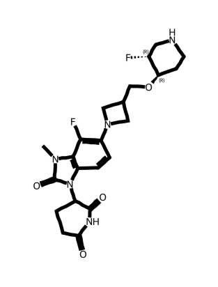 Cn1c(=O)n(C2CCC(=O)NC2=O)c2ccc(N3CC(CO[C@@H]4CCNC[C@H]4F)C3)c(F)c21